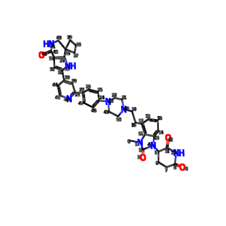 Cn1c(=O)n(C2CCC(=O)NC2=O)c2cccc(CCN3CCN(c4ccc(-c5cc(-c6cc7c([nH]6)C6(CCC6)CNC7=O)ccn5)cc4)CC3)c21